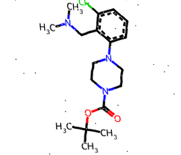 CN(C)Cc1c(Cl)cccc1N1CCN(C(=O)OC(C)(C)C)CC1